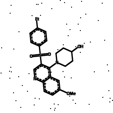 CCc1ccc(S(=O)(=O)c2cnc3ccc(OC)cc3c2N2CCC(O)CC2)cc1